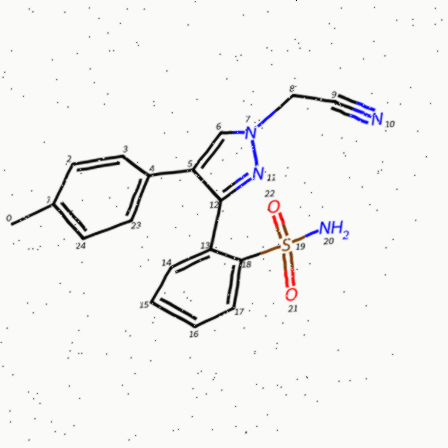 Cc1ccc(-c2cn(CC#N)nc2-c2ccccc2S(N)(=O)=O)cc1